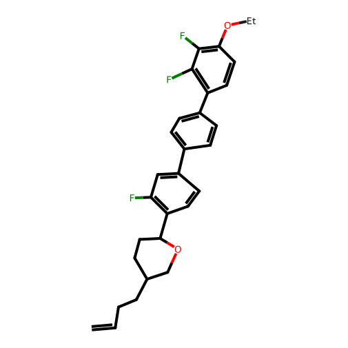 C=CCCC1CCC(c2ccc(-c3ccc(-c4ccc(OCC)c(F)c4F)cc3)cc2F)OC1